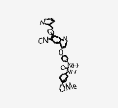 [C-]#[N+]c1cc2c(Oc3ccc(NC(=O)Nc4ccc(OC)cc4)cc3)ccnc2cc1OCc1cccnc1